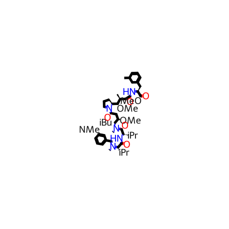 CC[C@H](C)[C@@H]([C@@H](CC(=O)N1CCC[C@H]1[C@H](OC)[C@@H](C)C1OC1N[C@@H](CC1=CC=CC(C)C1)C(=O)OC)OC)N(C)C(=O)[C@@H](NC(=O)[C@H](C(C)C)N(C)Cc1cccc(NC)c1)C(C)C